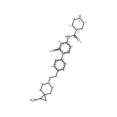 NC1CC12CCN(CCc1ccc(-n3ccc(NC(=O)N4CCNCC4)nc3=O)cc1)CC2